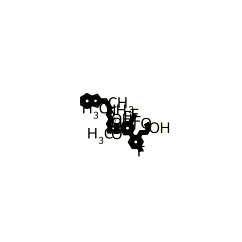 CN(C[C@H](O)CNC(C)(C)CC1Cc2ccccc2C1)S(=O)(=O)c1cc(-c2ccc(F)cc2CCC(=O)O)cc(C(F)(F)F)c1